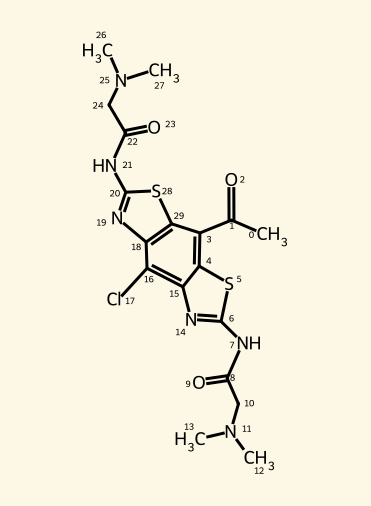 CC(=O)c1c2sc(NC(=O)CN(C)C)nc2c(Cl)c2nc(NC(=O)CN(C)C)sc12